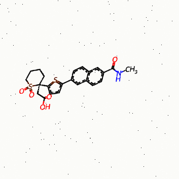 CNC(=O)c1ccc2cc(-c3ccc([C@@]4(CC(=O)O)CCCCS4(=O)=O)s3)ccc2c1